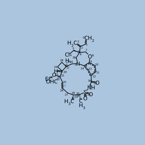 C=CC(=C)[C@]1(CCl)COc2ccc3cc2N(C[C@@H]2CC[C@H]2[C@](C=O)(OCC)/C=C/C[C@H](C)[C@@H](C)S(=O)(=O)NC3=O)C1